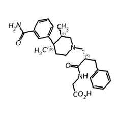 C[C@H]1CN(C[C@H](Cc2ccccc2)C(=O)NCC(=O)O)CC[C@@]1(C)c1cccc(C(N)=O)c1